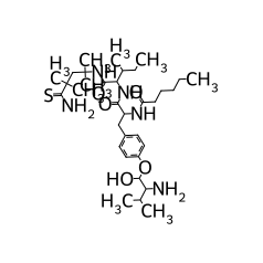 CCCCCC(=O)NC(Cc1ccc(OC(O)C(N)C(C)C)cc1)C(=O)NC(C(=O)NC(C)(C)CC(C)(C)C(N)=S)C(C)CC